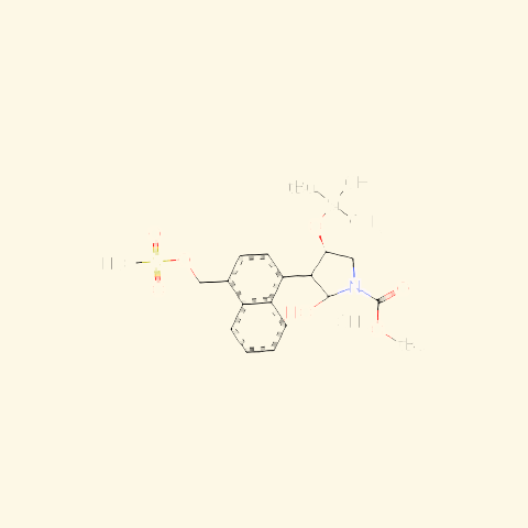 CC(C)(C)OC(=O)N1C[C@H](O[Si](C)(C)C(C)(C)C)C(c2ccc(COS(C)(=O)=O)c3ccccc23)[C@]1(C)O